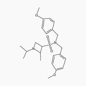 COc1ccc(CN(Cc2ccc(OC)cc2)S(=O)(=O)C2CN(C(C)C)C2I)cc1